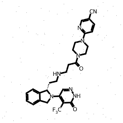 N#Cc1ccc(N2CCN(C(=O)CCNCC[C@H]3c4ccccc4CN3c3cn[nH]c(=O)c3C(F)(F)F)CC2)nc1